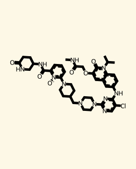 CNC(=O)COc1cc2cc(Nc3nc(N4CCN(CC5CCN(c6cccc(C(=O)NC7CCC(=O)NC7)[n+]6[O-])CC5)CC4)ncc3Cl)ccc2n(C(C)C)c1=O